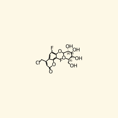 O=c1cc(CCl)c2cc(F)c(OC3O[C@H](CO)[C@H](O)[C@H](O)[C@H]3O)c(F)c2o1